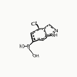 OB(O)c1cc(Cl)c2cn[nH]c2c1